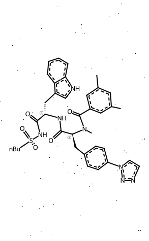 CCCCS(=O)(=O)NC(=O)[C@H](Cc1c[nH]c2ccccc12)NC(=O)[C@H](Cc1ccc(-n2ccnn2)cc1)N(C)C(=O)c1cc(C)cc(C)c1